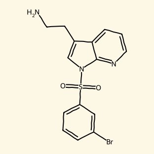 NCCc1cn(S(=O)(=O)c2cccc(Br)c2)c2ncccc12